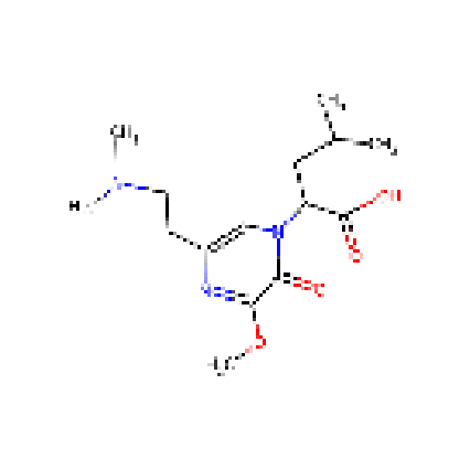 COc1nc(CCN(C)C)cn(C(CC(C)C)C(=O)O)c1=O